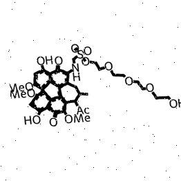 COc1c2c3c4c(c(NCS(=O)(=O)OCCOCCOCCOCCO)c(=O)c5c(O)cc(OC)c(c6c(OC)cc(O)c(c1=O)c63)c54)CC(C)C2C(C)=O